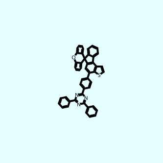 c1ccc(-c2nc(-c3ccccc3)nc(-c3ccc(-c4cc5c(c6ccsc46)-c4ccccc4C54c5ccccc5Oc5ccccc54)cc3)n2)cc1